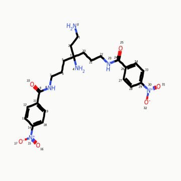 NCCC(N)(CCCNC(=O)c1ccc([N+](=O)[O-])cc1)CCCNC(=O)c1ccc([N+](=O)[O-])cc1